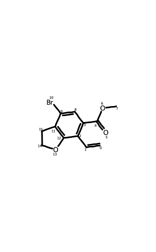 C=Cc1c(C(=O)OC)cc(Br)c2c1OCC2